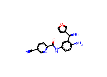 N#Cc1ccc(C(=O)Nc2ccc(N)c(C(=N)c3ccoc3)c2)nc1